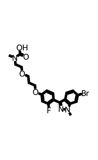 CN(CCOCCCOc1ccc(-c2nn(C)c3cc(Br)ccc23)c(F)c1)C(=O)O